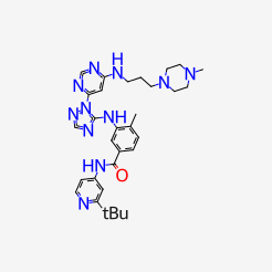 Cc1ccc(C(=O)Nc2ccnc(C(C)(C)C)c2)cc1Nc1ncnn1-c1cc(NCCCN2CCN(C)CC2)ncn1